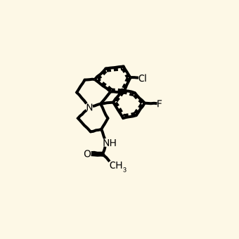 CC(=O)NC1CCN2CCc3ccc(Cl)cc3C2(c2ccc(F)cc2)C1